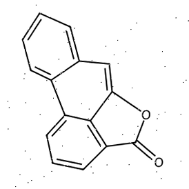 O=C1Oc2cc3ccccc3c3cccc1c23